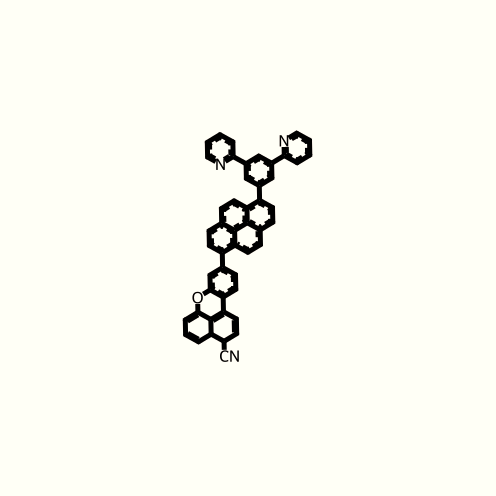 N#CC1C=CC2=C3C(=CC=CC31)Oc1cc(-c3ccc4ccc5c(-c6cc(-c7ccccn7)cc(-c7ccccn7)c6)ccc6ccc3c4c65)ccc12